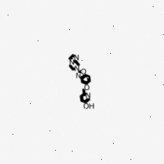 Oc1ccc(COc2ccc3oc(N4CCn5ccnc5C4)nc3c2)nc1